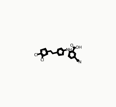 N#Cc1ccc(Nc2ccc(CCc3ccc(Cl)c(Cl)c3)cc2)c(C(=O)O)c1